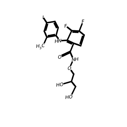 Cc1cc(I)ccc1Nc1c(C(=O)NOCC(O)CO)ccc(F)c1F